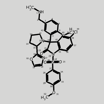 CNCc1ccc(OC)c(C2(N3CCCC3c3ncco3)C(=O)N(S(=O)(=O)c3ccc(OC)cc3)c3ccc(Cl)cc32)c1